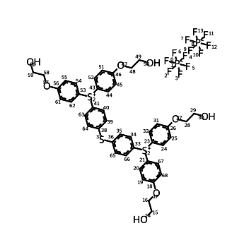 F[P-](F)(F)(F)(F)F.F[P-](F)(F)(F)(F)F.OCCOc1ccc([S+](c2ccc(OCCO)cc2)c2ccc(Sc3ccc([S+](c4ccc(OCCO)cc4)c4ccc(OCCO)cc4)cc3)cc2)cc1